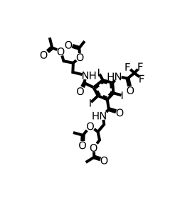 CC(=O)OCC(CNC(=O)c1c(I)c(NC(=O)C(F)(F)F)c(I)c(C(=O)NCC(COC(C)=O)OC(C)=O)c1I)OC(C)=O